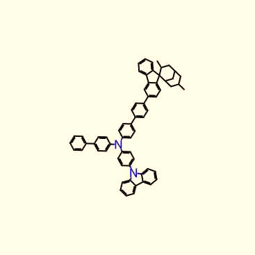 CC1CC2CC(C)C3(c4ccccc4-c4cc(-c5ccc(-c6ccc(N(c7ccc(-c8ccccc8)cc7)c7ccc(-n8c9ccccc9c9ccccc98)cc7)cc6)cc5)ccc43)C(C1)C2